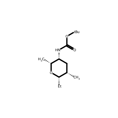 CC[C@@H]1O[C@H](C)[C@H](NC(=O)OC(C)(C)C)C[C@@H]1C